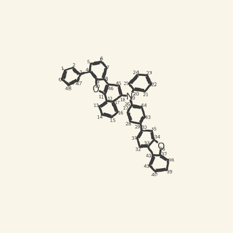 c1ccc(-c2cccc3c2oc2c4ccccc4c(N(c4ccccc4)c4ccc(-c5ccc6c(c5)oc5ccccc56)cc4)cc32)cc1